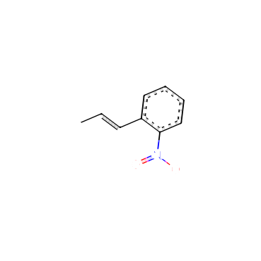 [CH2]/C=C/c1ccccc1[N+](=O)[O-]